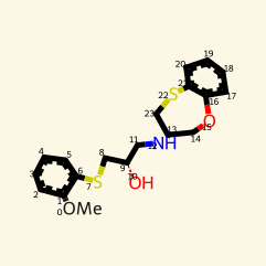 COc1ccccc1SC[C@@H](O)CN[C@@H]1COc2ccccc2SC1